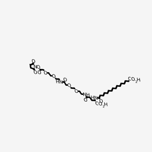 O=C(O)CCCCCCCCCCCCCCC(=O)N[C@@H](CCC(=O)NCCOCCOCC(=O)NCCOCCOCC(=O)ON1C(=O)CCC1=O)C(=O)O